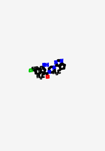 C[C@@H]1CCc2ncnc(N3CCN(C(=O)C(C)(CC(=N)C(=O)O)c4ccc(Cl)cc4)CC3)c21